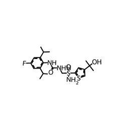 CC(C)c1cc(F)cc(C(C)C)c1NC(=O)NC[SH](N)(=O)c1cc(C(C)(C)O)cs1